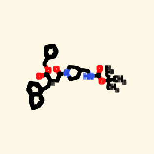 CC(C)(C)OC(=O)NCC1CCN(C(=O)C[C@@H](Cc2cccc3ccccc23)C(=O)OCc2ccccc2)CC1